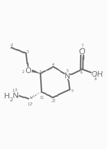 CCO[C@H]1CN(C(=O)O)CC[C@@H]1CN